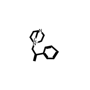 C=C(C[N+]12CCN(CC1)CC2)c1ccccc1